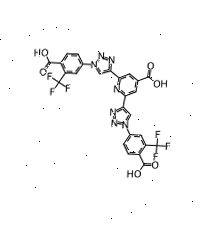 O=C(O)c1cc(-c2cn(-c3ccc(C(=O)O)c(C(F)(F)F)c3)nn2)nc(-c2cn(-c3ccc(C(=O)O)c(C(F)(F)F)c3)nn2)c1